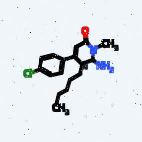 CCCCC[C@H]1C(c2ccc(Cl)cc2)=CC(=O)N(C)C1N